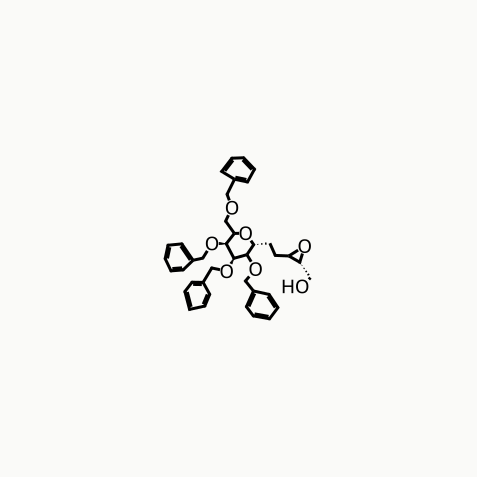 OC[C@H]1OC1CC[C@H]1OC(COCc2ccccc2)[C@H](OCc2ccccc2)[C@H](OCc2ccccc2)C1OCc1ccccc1